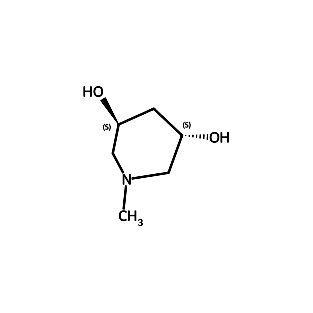 CN1C[C@@H](O)C[C@H](O)C1